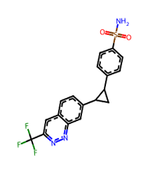 NS(=O)(=O)c1ccc(C2CC2c2ccc3cc(C(F)(F)F)nnc3c2)cc1